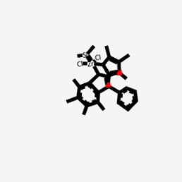 CC1=C(C)[CH]([Zr]([Cl])([Cl])([CH]2C(C)=C(c3ccccc3)c3c(C)c(C)c(C)c(C)c32)=[Si](C)C)C(C)=C1C